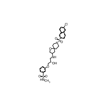 CNS(=O)(=O)c1cccc(OC[C@@H](O)CNC2COC3(CCN(S(=O)(=O)c4ccc5cc(Cl)ccc5c4)CC3)C2)c1